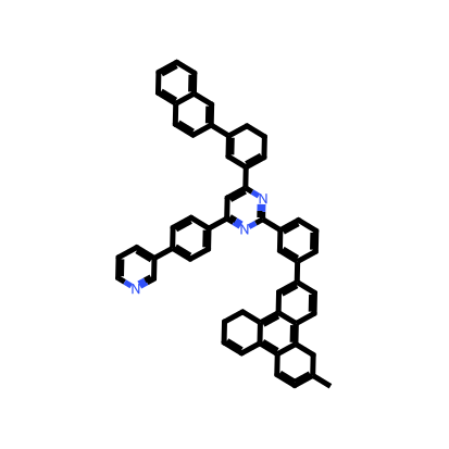 CC1=C=Cc2c3c(c4cc(-c5cccc(-c6nc(C7=CCCC(c8ccc9ccccc9c8)=C7)cc(-c7ccc(-c8cccnc8)cc7)n6)c5)ccc4c2C1)CCC=C3